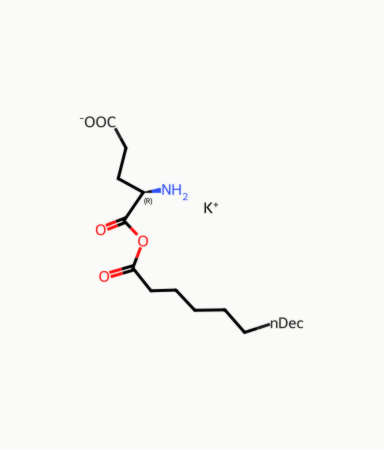 CCCCCCCCCCCCCCCC(=O)OC(=O)[C@H](N)CCC(=O)[O-].[K+]